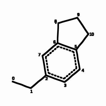 CCc1ccc2c(c1)[CH]CC2